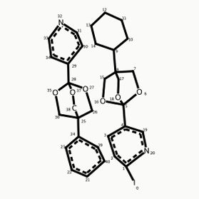 Ic1ccc(C23OCC(C4CCCCC4)(CO2)CO3)cn1.c1ccc(C23COC(c4ccncc4)(OC2)OC3)cc1